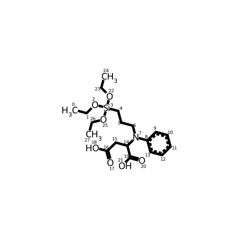 CCO[Si](CCCN(c1ccccc1)C(CC(=O)O)C(=O)O)(OCC)OCC